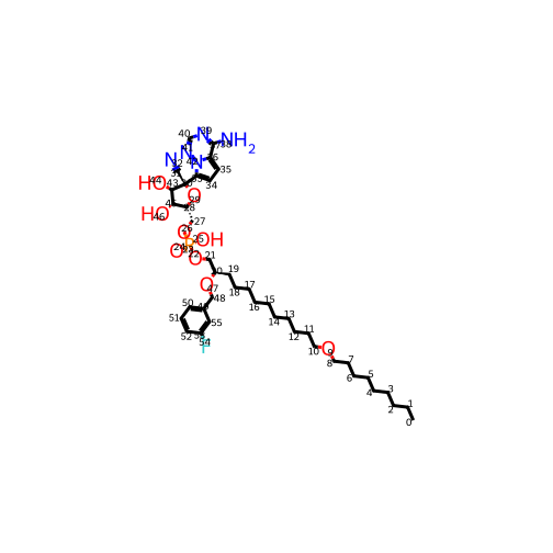 CCCCCCCCCOCCCCCCCCCC[C@H](COP(=O)(O)OC[C@H]1O[C@@](C#N)(c2ccc3c(N)ncnn23)C(O)[C@H]1O)OCc1cccc(F)c1